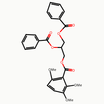 COc1ccc(OC)c(C(=O)OCC(COC(=O)c2ccccc2)OC(=O)c2ccccc2)c1OC